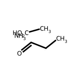 CC(=O)O.CCC=O.N